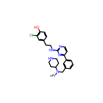 CCCN(Cc1cccc(-c2ccnc(NCCc3ccc(O)c(Cl)c3)n2)c1)C1CCNCC1